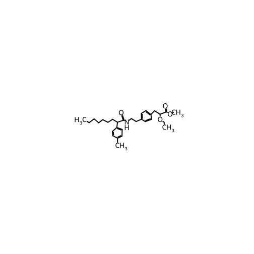 CCCCCCCC(C(=O)NCCc1ccc(CC(OCC)C(=O)OC)cc1)c1ccc(C)cc1